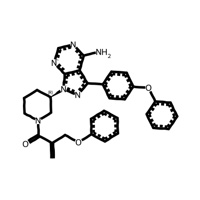 C=C(COc1ccccc1)C(=O)N1CCC[C@@H](n2nc(-c3ccc(Oc4ccccc4)cc3)c3c(N)ncnc32)C1